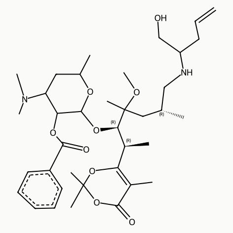 C=CCC(CO)NC[C@H](C)CC(C)(OC)[C@H](OC1OC(C)CC(N(C)C)C1OC(=O)c1ccccc1)[C@@H](C)C1=C(C)C(=O)OC(C)(C)O1